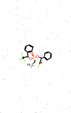 CCP(=O)(OC(c1ccccc1)C(F)(F)F)OC(c1ccccc1)C(F)(F)F